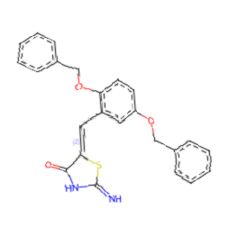 N=C1NC(=O)/C(=C/c2cc(OCc3ccccc3)ccc2OCc2ccccc2)S1